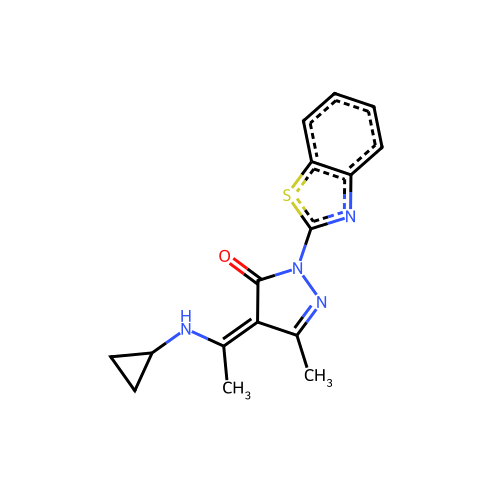 CC1=NN(c2nc3ccccc3s2)C(=O)/C1=C(/C)NC1CC1